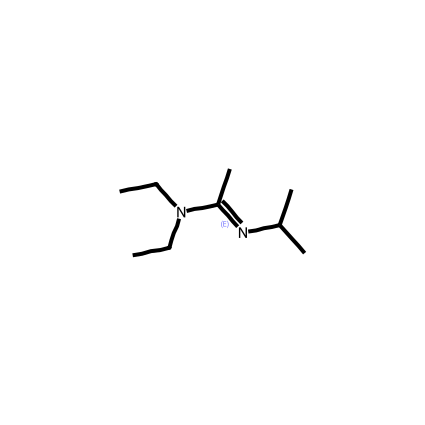 CCN(CC)/C(C)=N/C(C)C